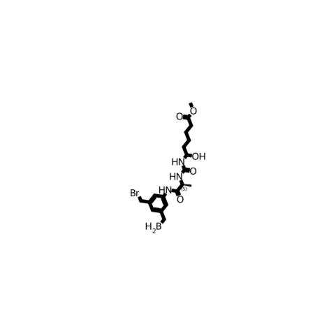 BCc1cc(CBr)cc(NC(=O)[C@H](C)NC(=O)NC(O)CCCCC(=O)OC)c1